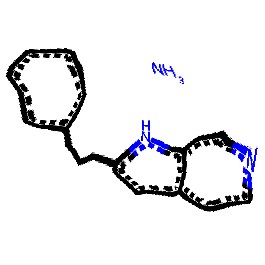 N.c1ccc(Cc2cc3ccncc3[nH]2)cc1